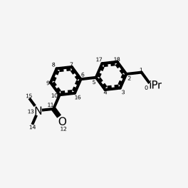 CC(C)Cc1ccc(-c2cccc(C(=O)N(C)C)c2)cc1